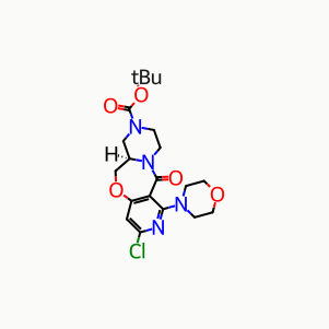 CC(C)(C)OC(=O)N1CCN2C(=O)c3c(cc(Cl)nc3N3CCOCC3)OC[C@H]2C1